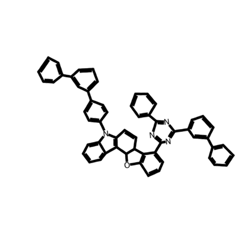 C1=CC2c3c(cccc3-c3nc(-c4ccccc4)nc(-c4cccc(-c5ccccc5)c4)n3)OC2c2c1n(-c1ccc(-c3cccc(-c4ccccc4)c3)cc1)c1ccccc21